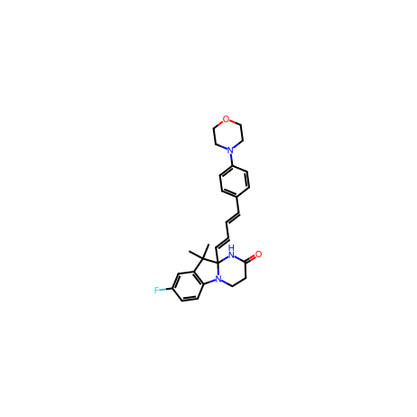 CC1(C)c2cc(F)ccc2N2CCC(=O)NC21/C=C/C=C/c1ccc(N2CCOCC2)cc1